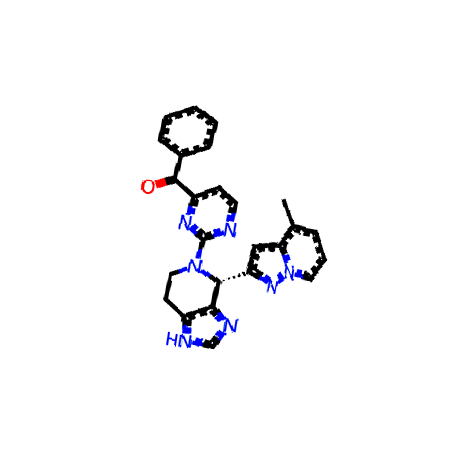 Cc1cccn2nc([C@@H]3c4nc[nH]c4CCN3c3nccc(C(=O)c4ccccc4)n3)cc12